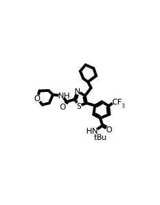 CC(C)(C)NC(=O)c1cc(-c2sc(C(=O)NC3CCOCC3)nc2CC2CCCCC2)cc(C(F)(F)F)c1